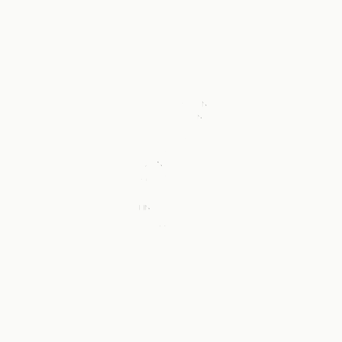 O=C(CS)NCC1CN(c2ccc3c(c2)CCCc2cn[nH]c2-3)C(=O)O1